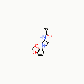 O=C(NC1CCN(c2cccc3c2OCCO3)C1)C1CC1